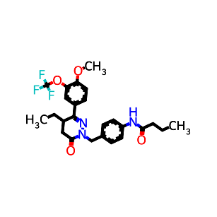 CCCC(=O)Nc1ccc(CN2N=C(c3ccc(OC)c(OC(F)(F)F)c3)C(CC)CC2=O)cc1